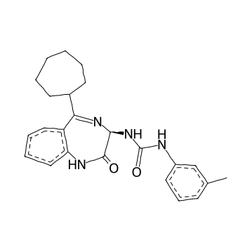 Cc1cccc(NC(=O)N[C@@H]2N=C(C3CCCCCC3)c3ccccc3NC2=O)c1